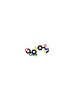 COC1(c2cc(F)cc(Sc3ccc(C(=O)c4nccs4)cc3)c2)CCOCC1